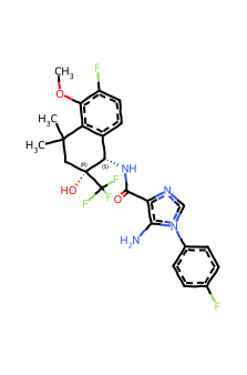 COc1c(F)ccc2c1C(C)(C)C[C@](O)(C(F)(F)F)[C@H]2NC(=O)c1ncn(-c2ccc(F)cc2)c1N